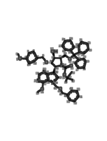 COc1ccc(CO[C@@H]2[C@@H](O)[C@@H](COC(c3ccccc3)(c3ccccc3)c3ccccc3)N(C(=O)OC(C)(C)C)[C@H]2c2cn(COCc3ccccc3)c3c(OC)ncnc23)cc1